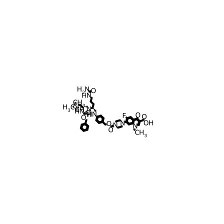 CCn1cc(C(=O)O)c(=O)c2cc(F)c(N3CCN(C(=O)OCc4ccc(NC[C@H](CCCNC(N)=O)NC[C@@H](C[Si](C)(C)C)NC(=O)OCc5ccccc5)cc4)CC3)cc21